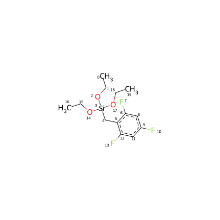 CCO[Si](Cc1c(F)cc(F)cc1F)(OCC)OCC